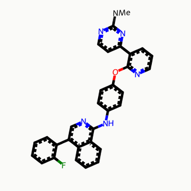 CNc1nccc(-c2cccnc2Oc2ccc(Nc3ncc(-c4ccccc4F)c4ccccc34)cc2)n1